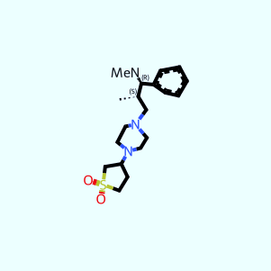 CN[C@@H](c1ccccc1)[C@@H](C)CN1CCN(C2CCS(=O)(=O)C2)CC1